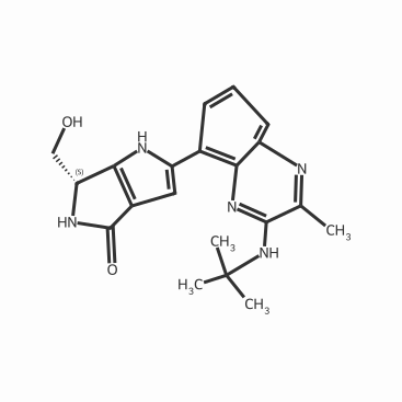 Cc1nc2cccc(-c3cc4c([nH]3)[C@@H](CO)NC4=O)c2nc1NC(C)(C)C